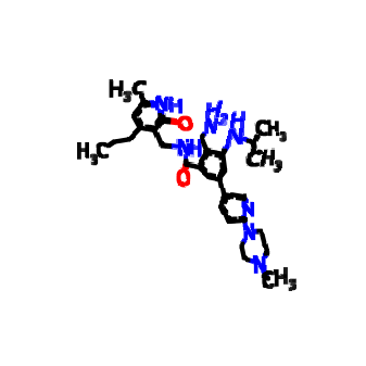 CCCc1cc(C)[nH]c(=O)c1CNC(=O)c1cc(-c2ccc(N3CCN(C)CC3)nc2)cc(NC(C)C)c1CN